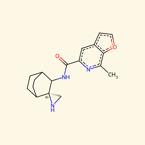 Cc1nc(C(=O)NC2C3CCC(CC3)[C@@]23CN3)cc2ccoc12